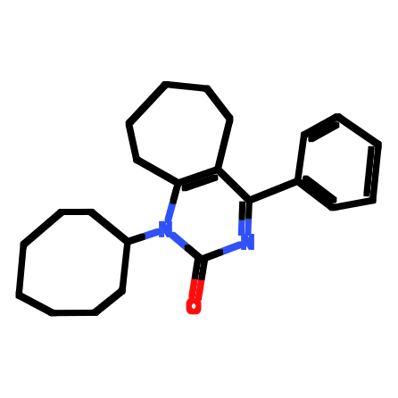 O=c1nc(-c2ccccc2)c2c(n1C1CCCCCCC1)CCCCC2